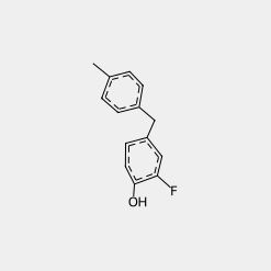 Cc1ccc(Cc2ccc(O)c(F)c2)cc1